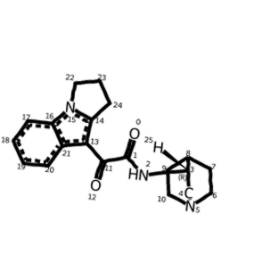 O=C(N[C@H]1CN2CCC1CC2)C(=O)c1c2n(c3ccccc13)CCC2